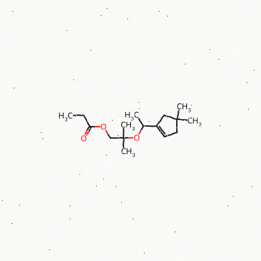 CCC(=O)OCC(C)(C)OC(C)C1=CCC(C)(C)C1